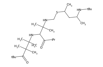 CC(CC(C)SCNC(C)(C)C(NC(C)(C)C(C)(C)C(=O)C(C)(C)C)C(=O)C(C)C)NC(C)(C)C